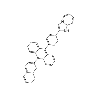 C1=CC2NC(C3=CC=C(c4c5c(c(C6=CC=C7C=CCCC7C6)c6ccccc46)=CCCC=5)CC3)=CN2C=C1